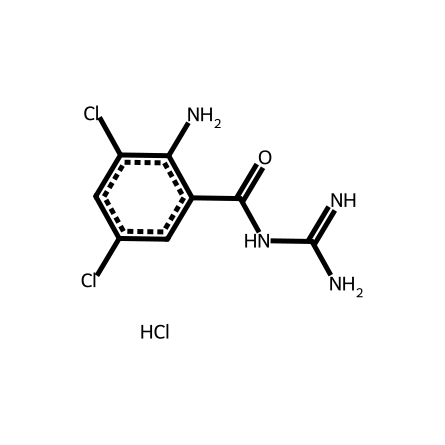 Cl.N=C(N)NC(=O)c1cc(Cl)cc(Cl)c1N